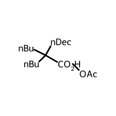 CCCCCCCCCCC(CCCC)(CCCC)C(=O)O.COC(C)=O